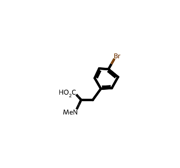 CNC(Cc1ccc(Br)cc1)C(=O)O